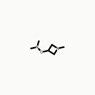 CN1CC(ON(C)C)C1